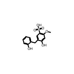 COc1cc(O)c(Cc2ccccc2O)cc1S(=O)(=O)O